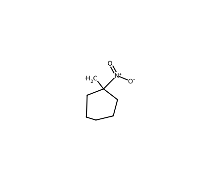 [CH2]C1([N+](=O)[O-])CCCCC1